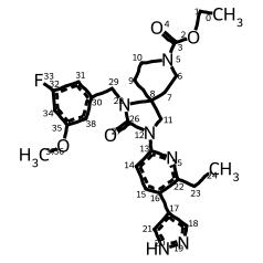 CCOC(=O)N1CCC2(CC1)CN(c1ccc(-c3cn[nH]c3)c(CC)n1)C(=O)N2Cc1cc(F)cc(OC)c1